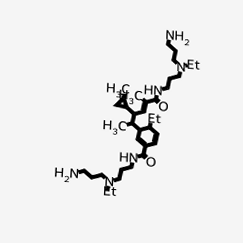 CCC1C=CC(C(=O)NCCCN(CC)CCCN)=CC1C(C)C(/C=C(\C)C(=O)NCCCN(CC)CCCN)C1CC1C